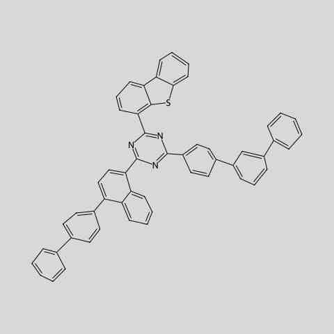 c1ccc(-c2ccc(-c3ccc(-c4nc(-c5ccc(-c6cccc(-c7ccccc7)c6)cc5)nc(-c5cccc6c5sc5ccccc56)n4)c4ccccc34)cc2)cc1